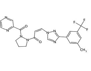 Cc1cc(-c2ncn(/C=C\C(=O)N3CCCN3C(=O)c3cnccn3)n2)cc(C(F)(F)F)c1